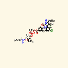 COCNCOC(C)(C)CCOC(=O)OC(C)OC(=O)c1ccc(NC(=O)[C@@H]2NC(CC(C)(C)C)C(C#N)C2c2cccc(Cl)c2F)c(OC)c1